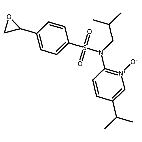 CC(C)CN(c1ccc(C(C)C)c[n+]1[O-])S(=O)(=O)c1ccc(C2CO2)cc1